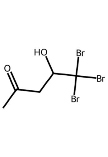 CC(=O)CC(O)C(Br)(Br)Br